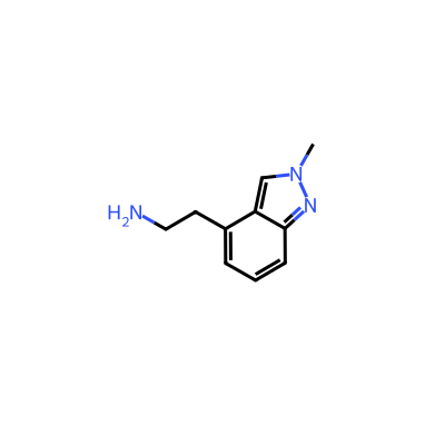 Cn1cc2c(CCN)cccc2n1